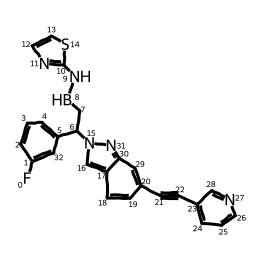 Fc1cccc(C(CBNc2nccs2)n2cc3ccc(C#Cc4cccnc4)cc3n2)c1